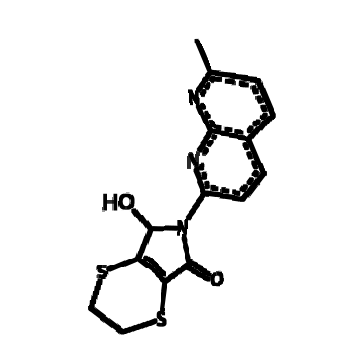 Cc1ccc2ccc(N3C(=O)C4=C(SCCS4)C3O)nc2n1